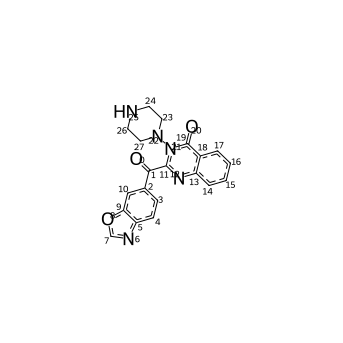 O=C(c1ccc2ncoc2c1)c1nc2ccccc2c(=O)n1N1CCNCC1